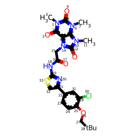 Cn1c(=O)c2c(n(C)c1=O)n(C)c(=O)n2CC(=O)Nc1nc(-c2ccc(OCC(C)(C)C)c(Cl)c2)cs1